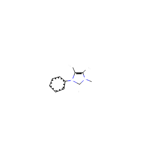 C[C@H]1N(C)C(C#N)=C(C#N)N1c1ccccc1